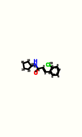 O=C(/C=C/c1ccccc1Cl)NC1CCCC1